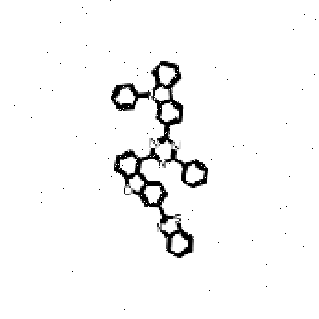 c1ccc(-c2nc(-c3ccc4c5ccccc5n(-c5ccccc5)c4c3)nc(-c3cccc4oc5cc(-c6nc7ccccc7s6)ccc5c34)n2)cc1